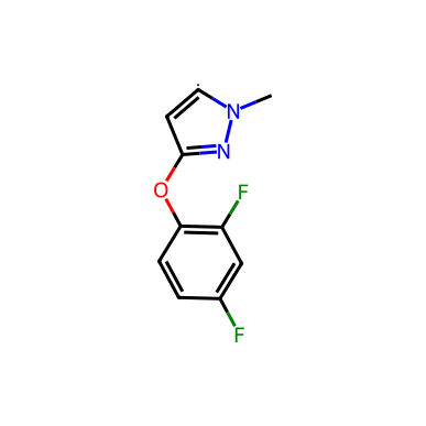 Cn1[c]cc(Oc2ccc(F)cc2F)n1